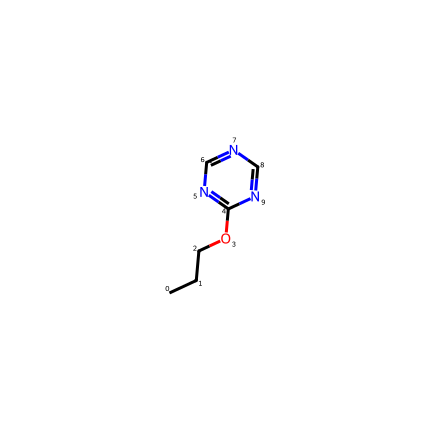 CCCOc1n[c]ncn1